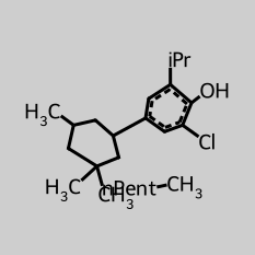 CC1CC(c2cc(Cl)c(O)c(C(C)C)c2)CC(C)(C)C1.CCCCCC